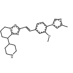 COc1cc(C=Cc2nc3n(n2)CCCC3C2CCNCC2)ccc1-n1cnc(C)c1